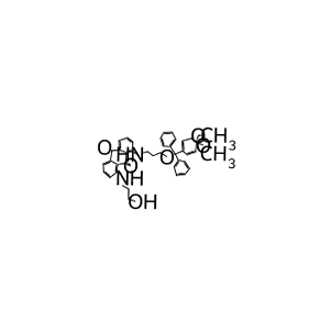 COC1(OC)C=CC(C(OCCCNc2cccc3c2C(=O)c2c(NCCCO)cccc2C3=O)(c2ccccc2)c2ccccc2)=CC1